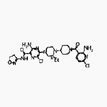 CC[C@H]1CN(c2nc(N)c(C(=O)NC3=NOCC3)nc2Cl)CCN1C1CCN(C(=O)c2ccc(Cl)nc2N)CC1